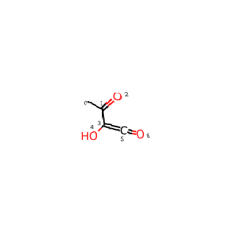 CC(=O)C(O)=C=O